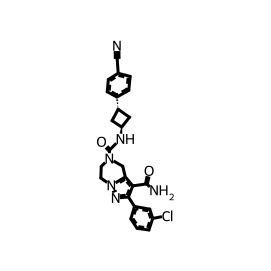 N#Cc1ccc([C@H]2C[C@H](NC(=O)N3CCn4nc(-c5cccc(Cl)c5)c(C(N)=O)c4C3)C2)cc1